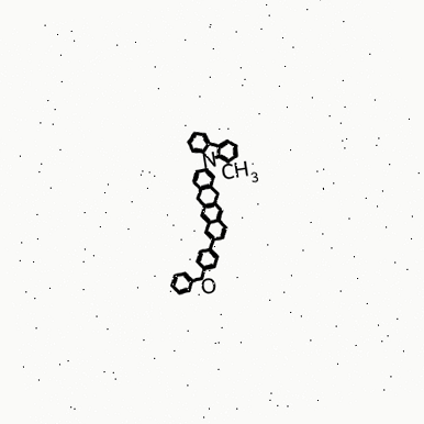 Cc1cccc2c3ccccc3n(-c3ccc4c(c3)Cc3cc5ccc(-c6ccc(C(=O)c7ccccc7)cc6)cc5cc3C4)c12